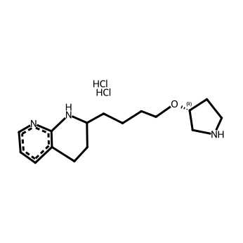 Cl.Cl.c1cnc2c(c1)CCC(CCCCO[C@@H]1CCNC1)N2